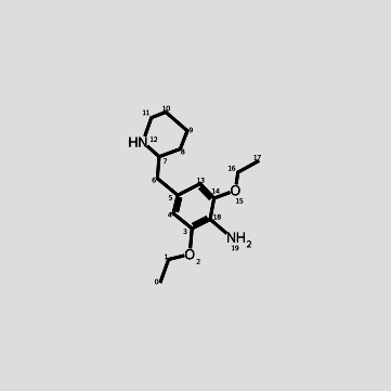 CCOc1cc(CC2C[CH]CCN2)cc(OCC)c1N